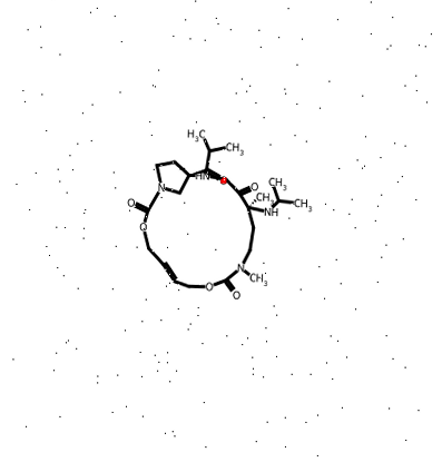 CC(C)N[C@@]1(C)CCN(C)C(=O)OC/C=C/COC(=O)N2CC[C@@](C(=O)C(C)C)(C2)NCC1=O